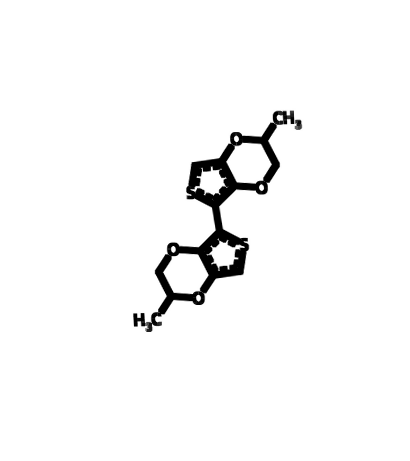 CC1COc2c(csc2-c2scc3c2OCC(C)O3)O1